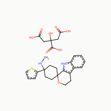 CNC1(c2cccs2)CCC2(CC1)OCCc1c2[nH]c2ccccc12.O=C(O)CC(O)(CC(=O)O)C(=O)O